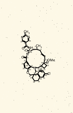 CO[C@H]1/C=C/C[C@H](C)CS(=O)(NC(=O)c2cnc(C)nc2)=NC(=O)c2ccc3c(c2)N(C[C@@H]2CC[C@H]21)C[C@@]1(CCCc2cc(Cl)ccc21)CO3